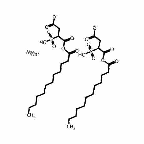 CCCCCCCCCCCC(=O)OC(=O)C(CC(=O)[O-])S(=O)(=O)O.CCCCCCCCCCCC(=O)OC(=O)C(CC(=O)[O-])S(=O)(=O)O.[Na+].[Na+]